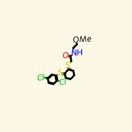 COCCNC(=O)CS[C@@H]1CCCC[C@H]1Sc1cc(Cl)ccc1Cl